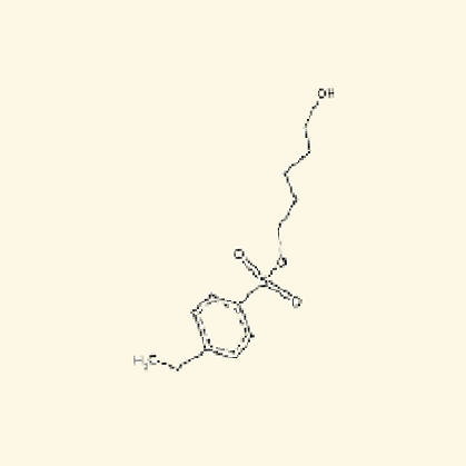 CCc1ccc(S(=O)(=O)OCCCCCO)cc1